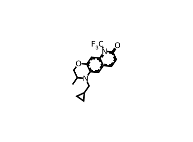 CC1COc2cc3c(ccc(=O)n3C(F)(F)F)cc2N1CC1CC1